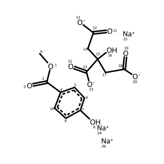 COC(=O)c1ccc(O)cc1.O=C([O-])CC(O)(CC(=O)[O-])C(=O)[O-].[Na+].[Na+].[Na+]